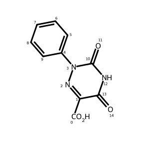 O=C(O)c1nn(-c2ccccc2)c(=O)[nH]c1=O